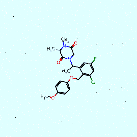 COc1ccc(OCc2c(Cl)cc(F)cc2C(C)N2CC(=O)N(C)[C@@H](C)C2=O)cc1